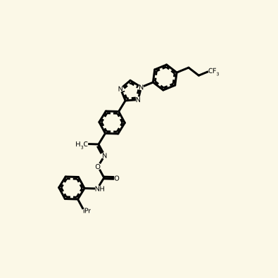 C/C(=N\OC(=O)Nc1ccccc1C(C)C)c1ccc(-c2ncn(-c3ccc(CCC(F)(F)F)cc3)n2)cc1